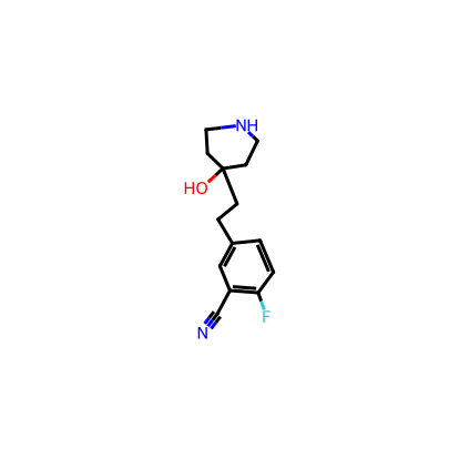 N#Cc1cc(CCC2(O)CCNCC2)ccc1F